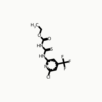 CCOC(=O)NC(=S)Nc1cc(C(F)(F)F)cc(Cl)n1